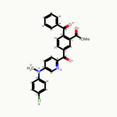 COC(=O)c1cc(C(=O)c2ccc(N(C)c3ccc(Cl)cc3)cn2)ccc1C(=O)c1ccccc1